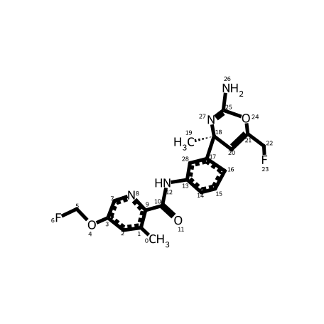 Cc1cc(OCF)cnc1C(=O)Nc1cccc([C@]2(C)C=C(CF)OC(N)=N2)c1